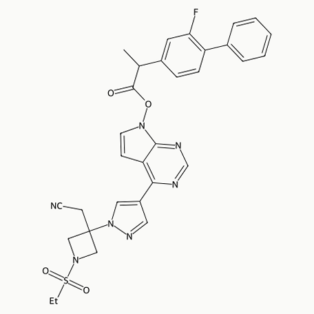 CCS(=O)(=O)N1CC(CC#N)(n2cc(-c3ncnc4c3ccn4OC(=O)C(C)c3ccc(-c4ccccc4)c(F)c3)cn2)C1